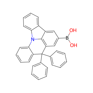 OB(O)c1cc2c3c(c1)c1ccccc1n3-c1ccccc1C2(c1ccccc1)c1ccccc1